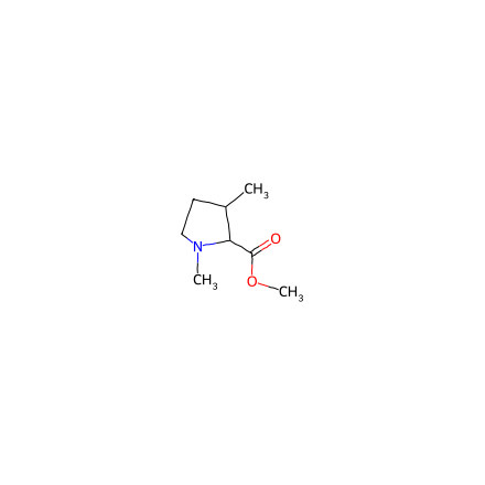 COC(=O)C1C(C)CCN1C